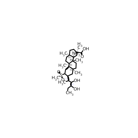 CC/C(O)=C(O)\C(C)=C1/C[C@]2(C)CC[C@@]3(C)[C@]4(N)C[C@](C)(C(=O)O)CC[C@]4(C)CC[C@]3(C)C2=CC1S(C)(=O)=O